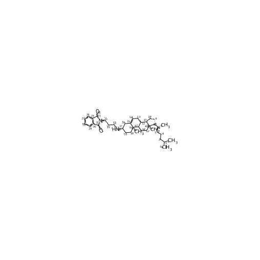 CC(C)CCC[C@@H](C)[C@H]1CCC2C3CC=C4CC(NCCCN5C(=O)c6ccccc6C5=O)CC[C@]4(C)C3CC[C@@]21C